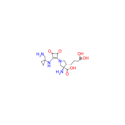 NCC1(Nc2c(N3C[C@H](CCCB(O)O)[C@](N)(C(=O)O)C3)c(=O)c2=O)CC1